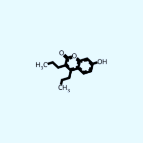 CCCc1c(CCC)c2ccc(O)cc2oc1=O